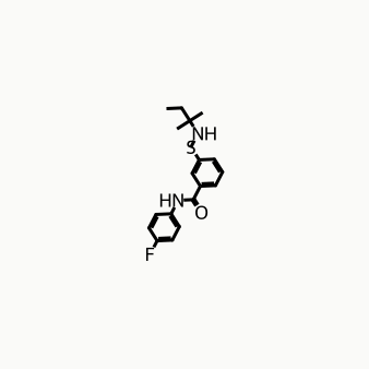 CCC(C)(C)NSc1cccc(C(=O)Nc2ccc(F)cc2)c1